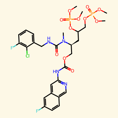 COP(=O)(OC)OCC(C[C@@H](COC(=O)Nc1cc2cc(F)ccc2cn1)N(C)C(=O)NCc1cccc(F)c1Cl)OP(=O)(OC)OC